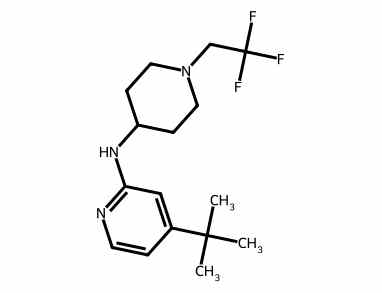 CC(C)(C)c1ccnc(NC2CCN(CC(F)(F)F)CC2)c1